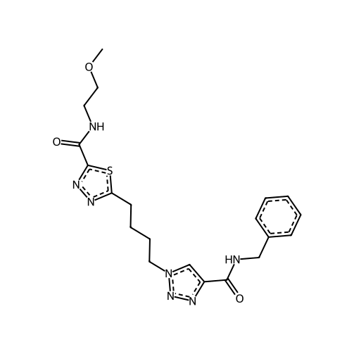 COCCNC(=O)c1nnc(CCCCn2cc(C(=O)NCc3ccccc3)nn2)s1